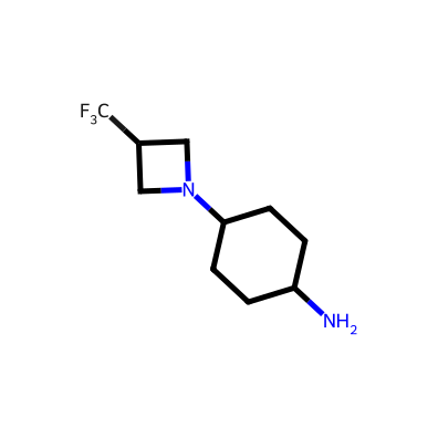 NC1CCC(N2CC(C(F)(F)F)C2)CC1